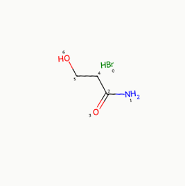 Br.NC(=O)CCO